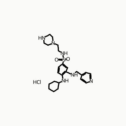 Cl.O=S(=O)(NCCN1CCNCC1)c1ccc(NC2CCCCC2)c(NCc2ccncc2)c1